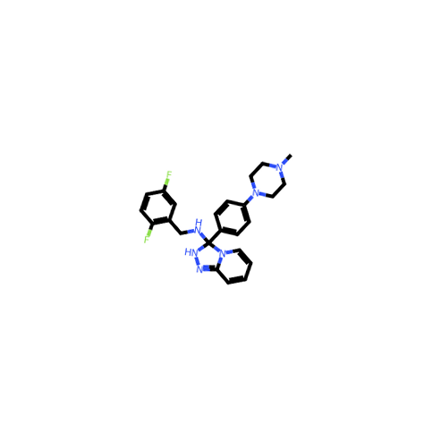 CN1CCN(c2ccc(C3(NCc4cc(F)ccc4F)NN=C4C=CC=CN43)cc2)CC1